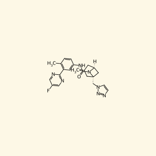 Cc1ccc(NC(=O)N2[C@H]3C[C@H](C)C[C@]2(Cn2ccnn2)C3)cc1-c1ncc(F)cn1